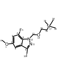 COc1cc(F)c2c(c1)c(I)nn2COCC[Si](C)(C)C